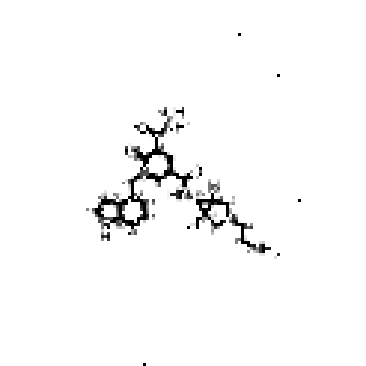 CNC(=O)c1cc(C(=O)N[C@@H]2[C@@H]3CN(CCN)C[C@@H]32)cn(Cc2cccc3[nH]ccc23)c1=O